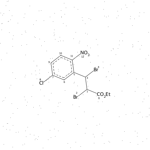 CCOC(=O)C(Br)C(Br)c1cc(Cl)ccc1[N+](=O)[O-]